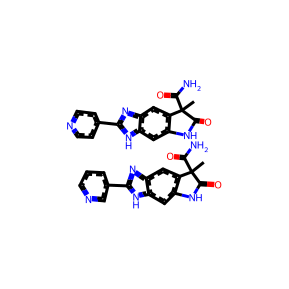 CC1(C(N)=O)C(=O)Nc2cc3[nH]c(-c4cccnc4)nc3cc21.CC1(C(N)=O)C(=O)Nc2cc3[nH]c(-c4ccncc4)nc3cc21